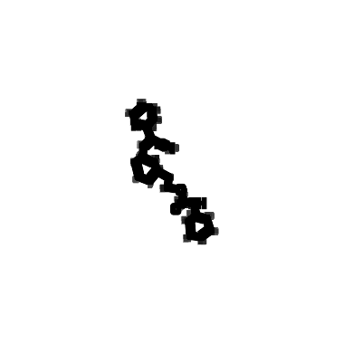 N#CC(=Cc1cccc(CCOC(=O)Nc2[c]cccc2)c1)c1cnccn1